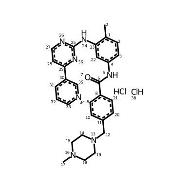 Cc1ccc(NC(=O)c2ccc(CN3CCN(C)CC3)cc2)cc1Nc1nccc(-c2cccnc2)n1.Cl.Cl